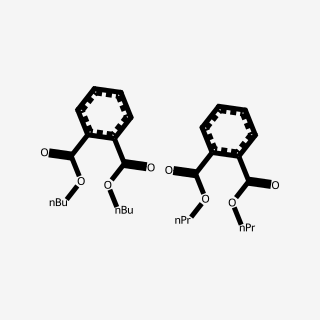 CCCCOC(=O)c1ccccc1C(=O)OCCCC.CCCOC(=O)c1ccccc1C(=O)OCCC